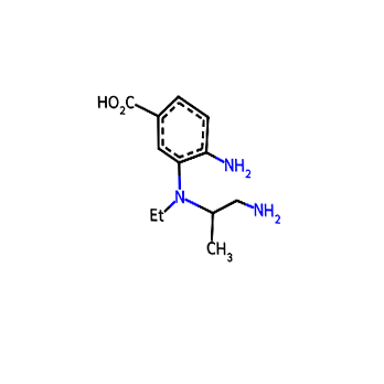 CCN(c1cc(C(=O)O)ccc1N)C(C)CN